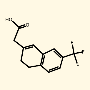 O=C(O)CC1=Cc2cc(C(F)(F)F)ccc2CC1